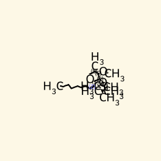 CCCCCCC/C=C\[C@@H]1OC[C@H](C)[C@H](OC)[C@H]1O[Si](C)(C)C(C)(C)C